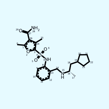 Cc1oc(S(=O)(=O)Nc2ccccc2CN[C@@H](C)CC2CCCC2)c(C)c1C(N)=O